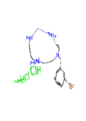 Brc1cccc(CN2CCCNCCNCCCNCC2)c1.Cl.Cl.Cl.Cl